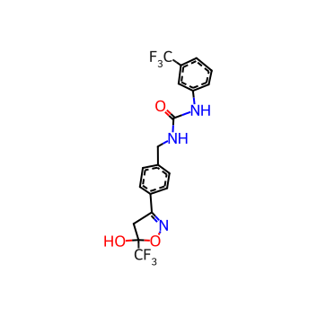 O=C(NCc1ccc(C2=NOC(O)(C(F)(F)F)C2)cc1)Nc1cccc(C(F)(F)F)c1